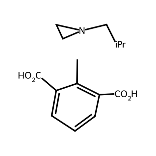 CC(C)CN1CC1.Cc1c(C(=O)O)cccc1C(=O)O